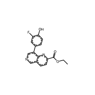 CCOC(=O)c1ccc2cncc(-c3ccc(O)c(F)c3)c2n1